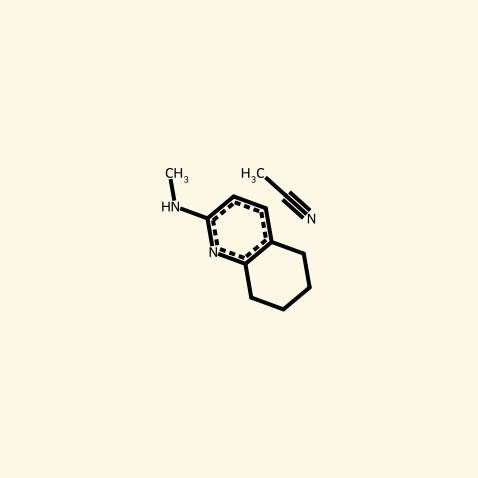 CC#N.CNc1ccc2c(n1)CCCC2